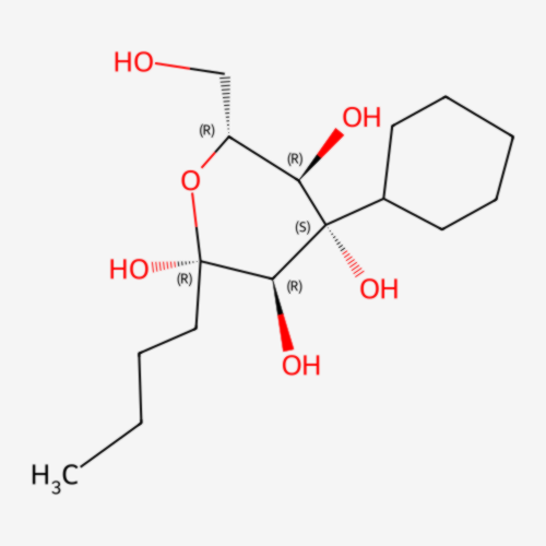 CCCC[C@@]1(O)O[C@H](CO)[C@@H](O)[C@@](O)(C2CCCCC2)[C@H]1O